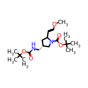 CO/C=C/C1C[C@@H](CNC(=O)OC(C)(C)C)CN1C(=O)OC(C)(C)C